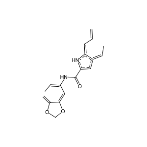 C=C/C=c1/[nH]c(C(=O)NC(=C/C)/C=C2/OCOC2=C)c/c1=C/C